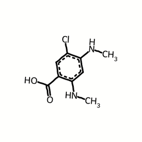 CNc1cc(NC)c(C(=O)O)cc1Cl